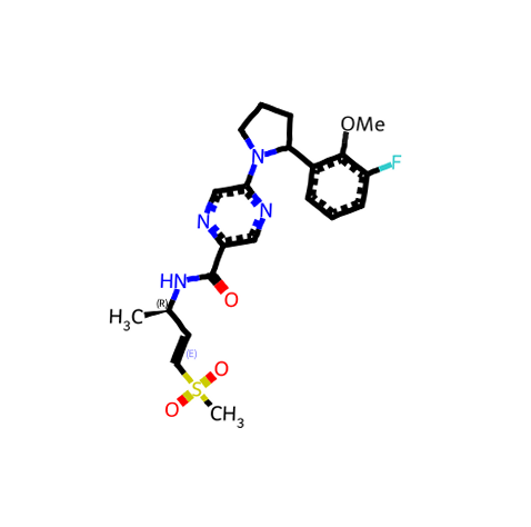 COc1c(F)cccc1C1CCCN1c1cnc(C(=O)N[C@H](C)/C=C/S(C)(=O)=O)cn1